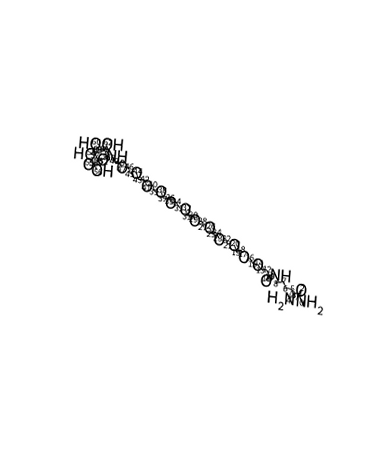 NC(=O)[C@@H](N)CCCCNC(=O)CCOCCOCCOCCOCCOCCOCCOCCOCCOCCOCCOCCOCCNC1O[C@H](C(=O)O)C(O)[C@H](O)[C@H]1O